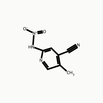 Cc1cnc(N[N+](=O)[O-])cc1C#N